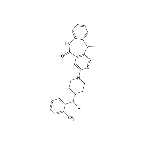 CN1c2ccccc2NC(=O)c2cc(N3CCN(C(=O)c4ccccc4C(F)(F)F)CC3)nnc21